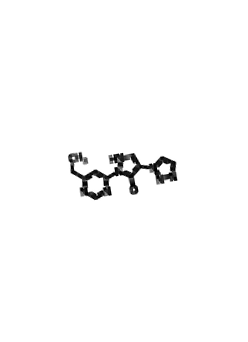 CCc1cc(-n2[nH]cc(-n3ccnn3)c2=O)ncn1